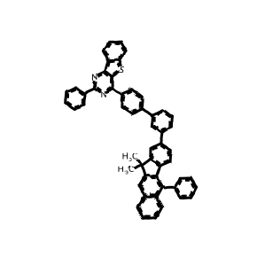 CC1(C)c2cc(-c3cccc(-c4ccc(-c5nc(-c6ccccc6)nc6c5sc5ccccc56)cc4)c3)ccc2-c2c1cc1ccccc1c2-c1ccccc1